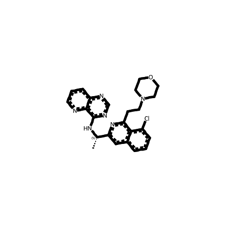 C[C@H](Nc1ncnc2cccnc12)c1cc2cccc(Cl)c2c(CCN2CCOCC2)n1